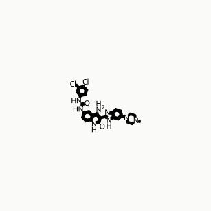 CN1CCN(c2ccc3nc(-c4c(N)c5cc(NC(=O)Nc6ccc(Cl)c(Cl)c6)ccc5[nH]c4=O)[nH]c3c2)CC1